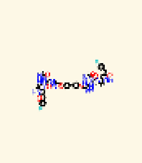 CN[C@@H](C)C(=O)N[C@H](C(=O)N1CC(C)(C)c2[nH]c(=O)c(Cc3ccc(F)cc3)cc21)[C@H](C)n1cc(COc2ccc(-c3ccc(OCc4cn([C@@H](C)[C@H](NC(=O)[C@H](C)NC)C(=O)N5CC(C)(C)c6[nH]c(=O)c(Cc7ccc(F)cc7)cc65)nn4)cc3)cc2)nn1